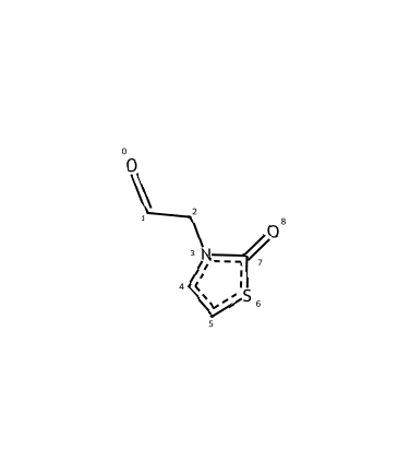 O=CCn1ccsc1=O